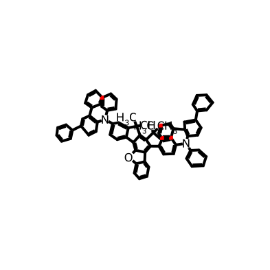 CC1(C)c2cc(N(c3ccccc3)c3ccc(-c4ccccc4)cc3-c3ccccc3)ccc2-c2c1c1c(c3c2oc2ccccc23)-c2ccc(N(c3ccccc3)c3ccc(-c4ccccc4)cc3-c3ccccc3)cc2C1(C)C